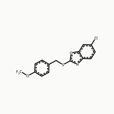 FC(F)(F)Oc1ccc(CSc2nc3ccc(Cl)cc3o2)cc1